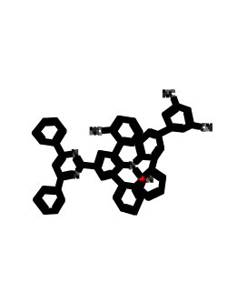 N#Cc1cc(C#N)cc(-c2ccc3c(c2)c2ccccc2n3-c2c(-c3ccccc3C#N)cc(-c3nc(-c4ccccc4)cc(-c4ccccc4)n3)cc2-c2ccccc2C#N)c1